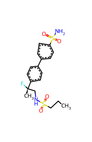 CCCS(=O)(=O)NC[C@](C)(F)c1ccc(-c2ccc(S(N)(=O)=O)cc2)cc1